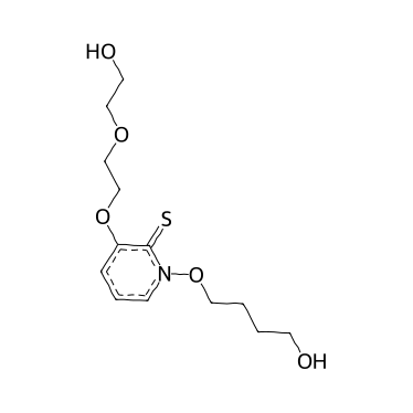 OCCCCOn1cccc(OCCOCCO)c1=S